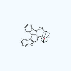 Cn1c2ccccc2c2c3c(cc(C45CC6CC(CC(C6)C4)C5)c21)oc1ccccc13